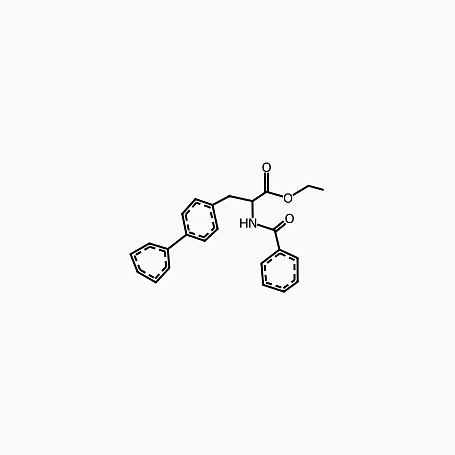 CCOC(=O)C(Cc1ccc(-c2ccccc2)cc1)NC(=O)c1ccccc1